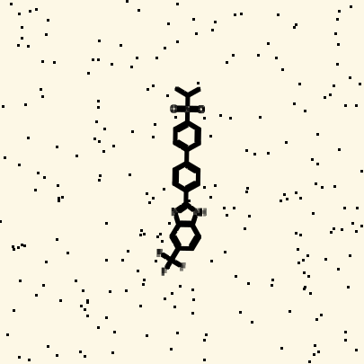 CC(C)S(=O)(=O)c1ccc(-c2ccc(-c3nc4cc(C(F)(F)F)ccc4[nH]3)cc2)cc1